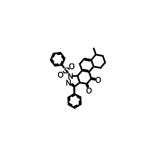 CC1CCCC2C1=CCC1=C2C(=O)C(=O)C2C(c3ccccc3)=NN(S(=O)(=O)c3ccccc3)C12